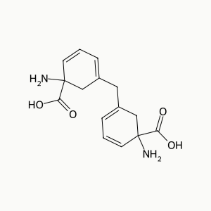 NC1(C(=O)O)C=CC=C(CC2=CC=CC(N)(C(=O)O)C2)C1